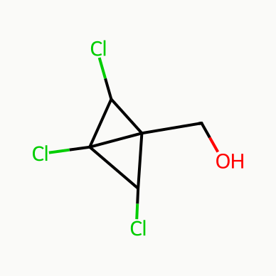 OCC12C(Cl)C1(Cl)C2Cl